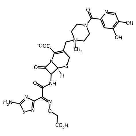 C[N+]1(CC2=C(C(=O)[O-])N3C(=O)C(NC(=O)C(=NOCC(=O)O)c4nsc(N)n4)[C@@H]3SC2)CCN(C(=O)c2cc(O)c(O)cn2)CC1